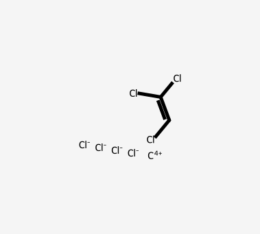 ClC=C(Cl)Cl.[C+4].[Cl-].[Cl-].[Cl-].[Cl-]